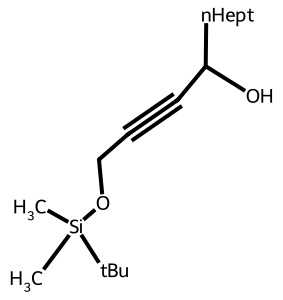 CCCCCCCC(O)C#CCO[Si](C)(C)C(C)(C)C